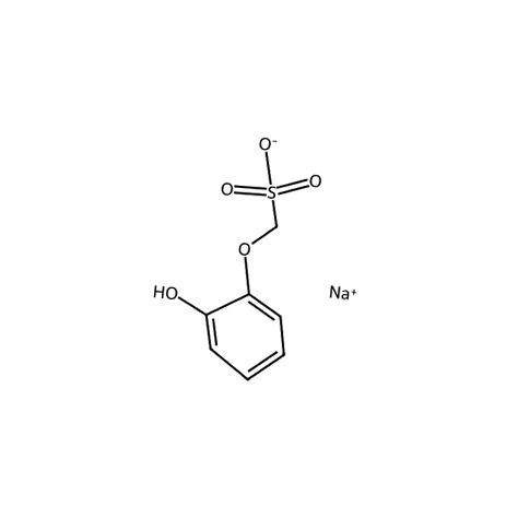 O=S(=O)([O-])COc1ccccc1O.[Na+]